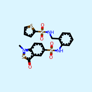 Cn1sc(=O)c2cc(S(=O)(=O)Nc3ccccc3CNS(=O)(=O)c3cccs3)ccc21